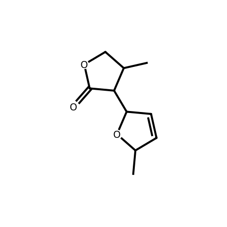 CC1C=CC(C2C(=O)OCC2C)O1